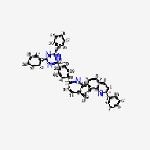 c1ccc(-c2ccc3ccc4c(ccc5ccc(-c6ccc(-c7nc(-c8ccccc8)nc(-c8ccccc8)n7)cc6)nc54)c3n2)cc1